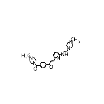 CN1CCN(CCNc2cccc(C=CC(=O)c3ccc(C(=O)N4CCN(C)CC4)cc3)n2)CC1